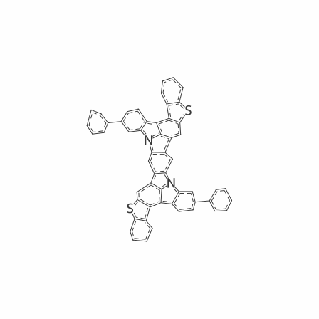 c1ccc(-c2ccc3c4c5c(cc6c7cc8c(cc7n(c3c2)c64)c2cc3sc4ccccc4c3c3c4ccc(-c6ccccc6)cc4n8c23)sc2ccccc25)cc1